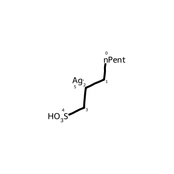 CCCCCCCCS(=O)(=O)O.[Ag]